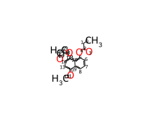 CCC(=O)Oc1cccc2c(OC)cc(OC)c(OC)c12